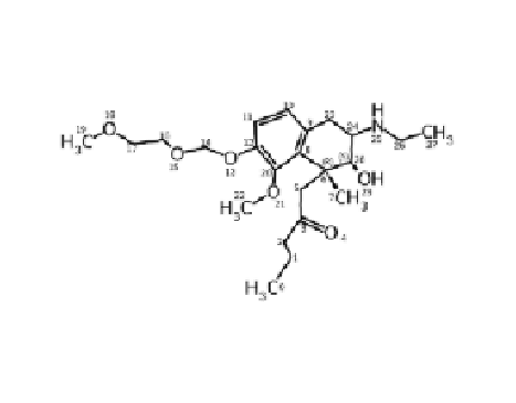 CCCC(=O)C[C@]1(C)c2c(ccc(OCOCCOC)c2OC)CC(NCC)[C@H]1O